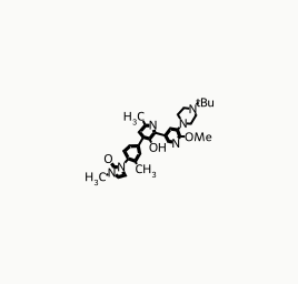 COc1ncc(-c2nc(C)cc(-c3ccc(-n4ccn(C)c4=O)c(C)c3)c2O)cc1N1CCN(C(C)(C)C)CC1